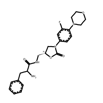 NC(Cc1ccccc1)C(=O)NC[C@@H]1CN(c2ccc(N3CCOCC3)c(F)c2)C(=O)O1